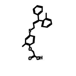 Cc1cc(SCC=C(c2ccccc2)c2ccccc2C)ccc1OCC(=O)O